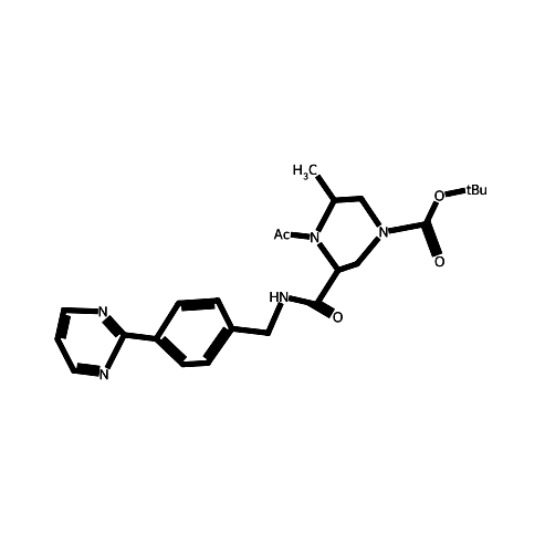 CC(=O)N1C(C)CN(C(=O)OC(C)(C)C)CC1C(=O)NCc1ccc(-c2ncccn2)cc1